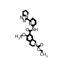 CCOC(=O)N1CCc2cc(OC)c(C(=O)Nc3cccc(-c4nnc5n4CCC5)n3)cc2C1